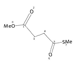 COC(=O)CCC(=O)SC